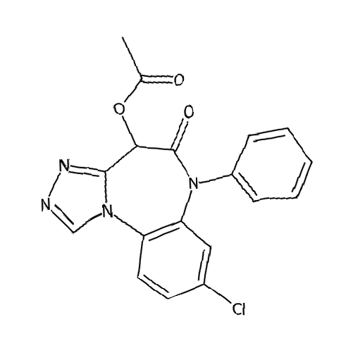 CC(=O)OC1C(=O)N(c2ccccc2)c2cc(Cl)ccc2-n2cnnc21